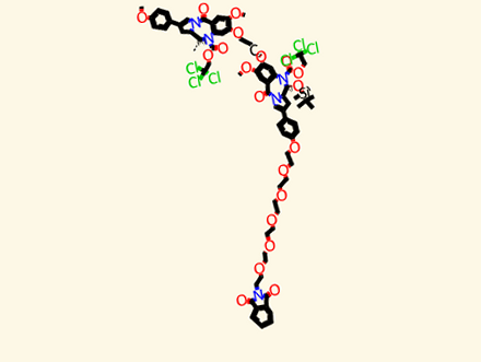 COc1ccc(C2=CN3C(=O)c4cc(OC)c(OCCCOc5cc6c(cc5OC)C(=O)N5C=C(c7ccc(OCCOCCOCCOCCOCCOCCN8C(=O)c9ccccc9C8=O)cc7)CC5[C@@H](O[Si](C)(C)C(C)(C)C)N6C(=O)OCC(Cl)(Cl)Cl)cc4N(C(=O)OCC(Cl)(Cl)Cl)[C@H](C)C3C2)cc1